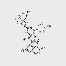 C#Cc1c(F)ccc2cc(O)cc(-c3ccc4c(N5CCC(O)CC5)nc(OC[C@@]56CCCN5C[C@H](F)C6)nc4c3F)c12